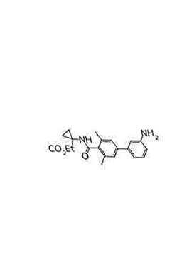 CCOC(=O)C1(NC(=O)c2c(C)cc(-c3cccc(N)c3)cc2C)CC1